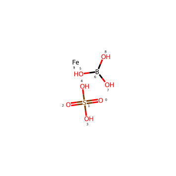 O=S(=O)(O)O.OB(O)O.[Fe]